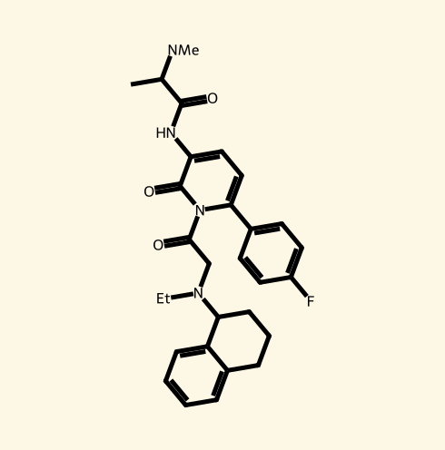 CCN(CC(=O)n1c(-c2ccc(F)cc2)ccc(NC(=O)C(C)NC)c1=O)C1CCCc2ccccc21